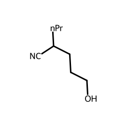 C[CH]CC(C#N)CCCO